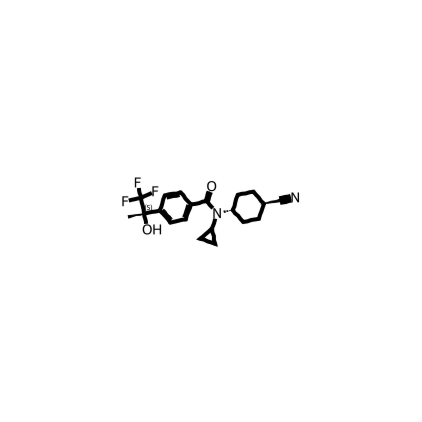 C[C@](O)(c1ccc(C(=O)N(C2CC2)[C@H]2CC[C@H](C#N)CC2)cc1)C(F)(F)F